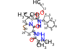 C#CCO[C@@H]1Cc2ccccc2C1NC(=O)[C@H]1N2C(=O)[C@@H](NC(=O)[C@H](C)NC)CCSC2CC1(C)C